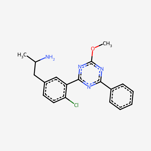 COc1nc(-c2ccccc2)nc(-c2cc(CC(C)N)ccc2Cl)n1